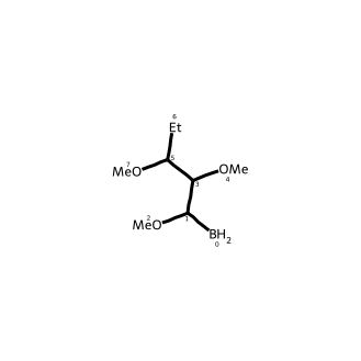 BC(OC)C(OC)C(CC)OC